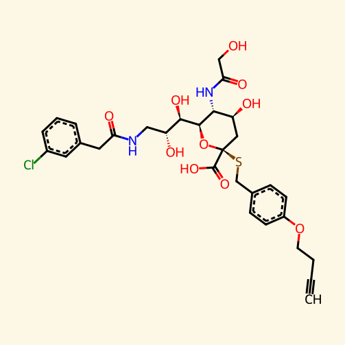 C#CCCOc1ccc(CS[C@]2(C(=O)O)C[C@H](O)[C@@H](NC(=O)CO)[C@H]([C@H](O)[C@H](O)CNC(=O)Cc3cccc(Cl)c3)O2)cc1